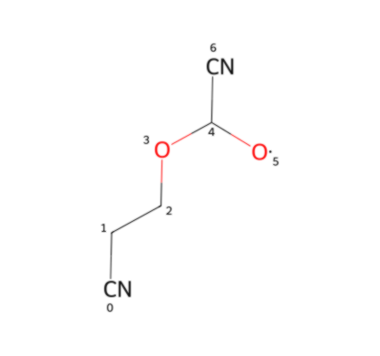 N#CCCOC([O])C#N